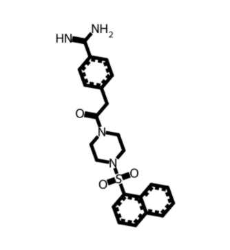 N=C(N)c1ccc(CC(=O)N2CCN(S(=O)(=O)c3cccc4ccccc34)CC2)cc1